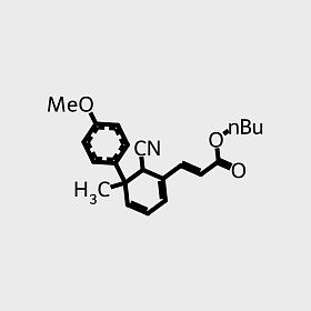 CCCCOC(=O)C=CC1=CC=CC(C)(c2ccc(OC)cc2)C1C#N